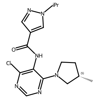 CC(C)n1cc(C(=O)Nc2c(Cl)ncnc2N2CC[C@H](C)C2)cn1